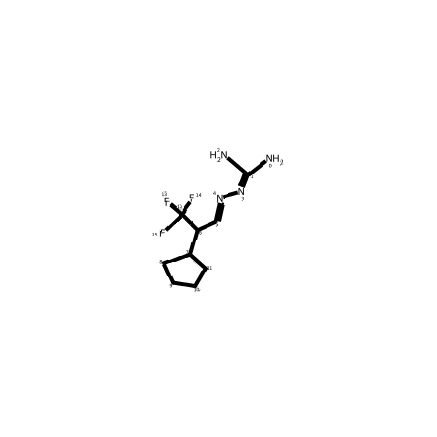 NC(N)=NN=CC(C1CCCC1)C(F)(F)F